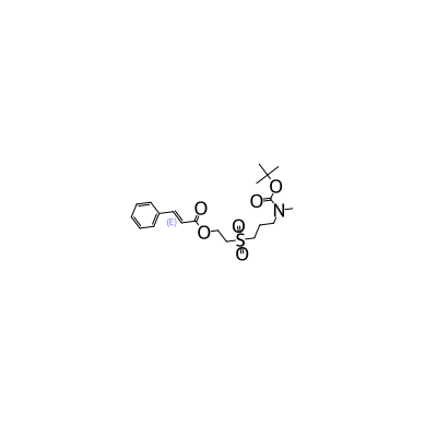 CN(CCCS(=O)(=O)CCOC(=O)/C=C/c1ccccc1)C(=O)OC(C)(C)C